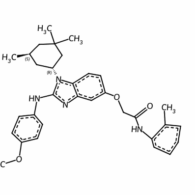 Cc1ccccc1NC(=O)COc1ccc2c(c1)nc(Nc1ccc(OC(F)(F)F)cc1)n2[C@@H]1C[C@@H](C)CC(C)(C)C1